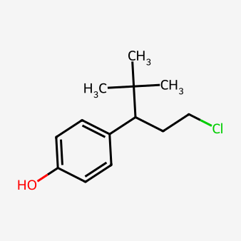 CC(C)(C)C(CCCl)c1ccc(O)cc1